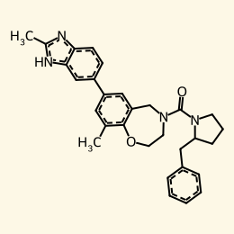 Cc1nc2ccc(-c3cc(C)c4c(c3)CN(C(=O)N3CCCC3Cc3ccccc3)CCO4)cc2[nH]1